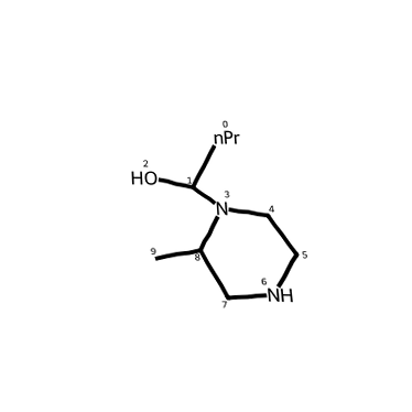 CCCC(O)N1CCNCC1C